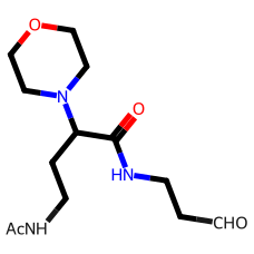 CC(=O)NCCC(C(=O)NCCC=O)N1CCOCC1